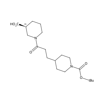 CC(C)(C)OC(=O)N1CCC(CCC(=O)N2CCC[C@H](C(=O)O)C2)CC1